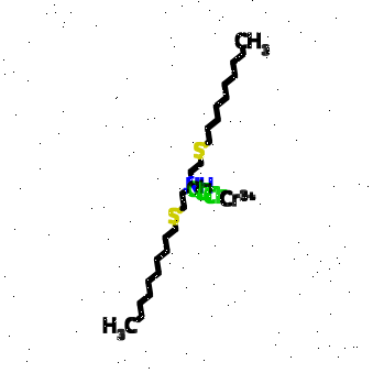 CCCCCCCCCCSCCNCCSCCCCCCCCCC.[Cl-].[Cl-].[Cl-].[Cr+3]